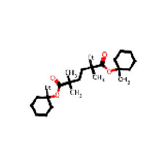 CCC1(OC(=O)C(C)(C)CCC(C)(CC)C(=O)OC2(C)CCCCC2)CCCCC1